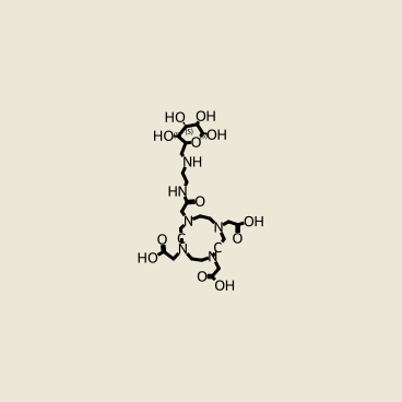 O=C(O)CN1CCN(CC(=O)O)CCN(CC(=O)NCCNCC2O[C@H](O)C(O)[C@@H](O)[C@@H]2O)CCN(CC(=O)O)CC1